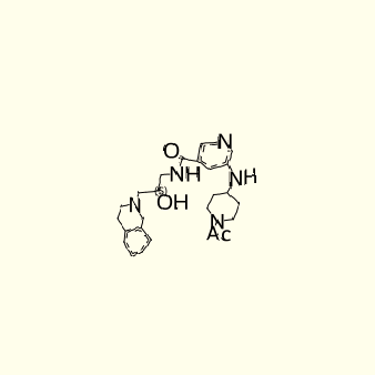 CC(=O)N1CCC(Nc2cncc(C(=O)NC[C@H](O)CN3CCc4ccccc4C3)c2)CC1